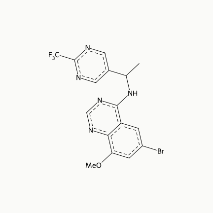 COc1cc(Br)cc2c(NC(C)c3cnc(C(F)(F)F)nc3)ncnc12